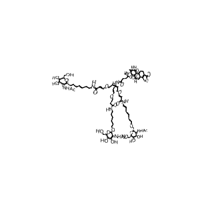 CC(=O)N[C@@H]1[C@@H](O)[C@@H](O)[C@@H](CO)O[C@H]1CCCCCCCNC(=O)CCOCCC(CCOCCC(=O)NCCCCCCOC[C@@H]1O[C@H](CO)[C@H](O)[C@H](O)[C@H]1NC(C)=O)(CCOCCC(=O)NCCCCCCO[C@@H]1O[C@H](CO)[C@H](O)[C@H](O)[C@H]1NC(C)=O)NC(=O)CCC(=O)O[C@@H]1[C@@]2(C(C)C)C[C@H]2[C@@H]2O[C@]23[C@]12O[C@H]2CC1C2=C(CC[C@@]13C)C(=O)OC2